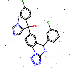 Cn1cncc1C(O)(c1ccc(F)cc1)c1ccc2c(c1)C(c1cccc(Cl)c1)Nc1nnnn1-2